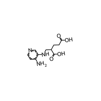 Nc1ccncc1NCC(CCC(=O)O)C(=O)O